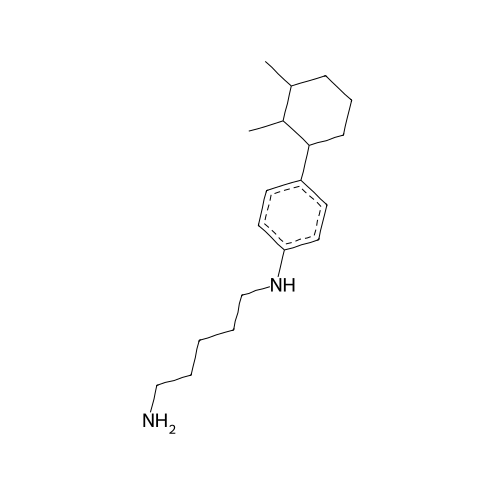 CC1CCCC(c2ccc(NCCCCCN)cc2)C1C